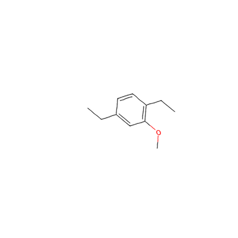 CCc1ccc(CC)c(OC)c1